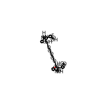 O=C(O)c1cc(-c2cc(C(=O)NCCCOCCOCCOCCOCCOCCCNC(=O)c3cc(-c4ccc(F)c(C(=O)O)c4)nc4[nH]nc(-c5ccccc5)c34)c3c(-c4ccccc4)n[nH]c3n2)ccc1F